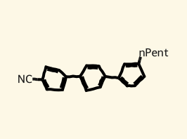 CCCCCc1cccc(-c2ccc(-c3ccc(C#N)cc3)cc2)c1